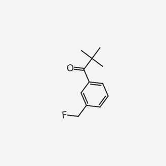 CC(C)(C)C(=O)c1cccc(CF)c1